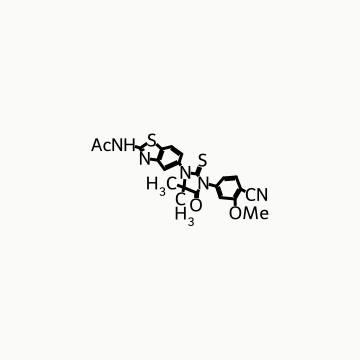 COc1cc(N2C(=O)C(C)(C)N(c3ccc4sc(NC(C)=O)nc4c3)C2=S)ccc1C#N